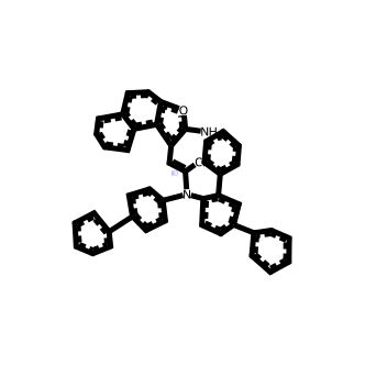 C/C(=C\c1c(N)oc2ccc3ccccc3c12)N(c1ccc(-c2ccccc2)cc1)c1ccc(-c2ccccc2)cc1-c1ccccc1